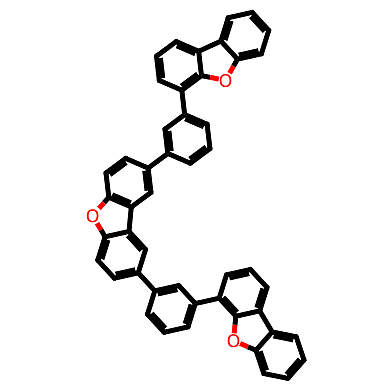 c1cc(-c2ccc3oc4ccc(-c5cccc(-c6cccc7c6oc6ccccc67)c5)cc4c3c2)cc(-c2cccc3c2oc2ccccc23)c1